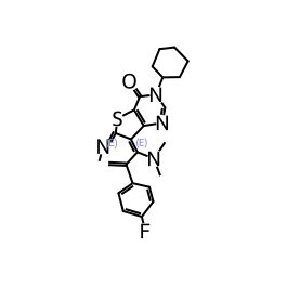 C=C(/C(=C1\C(=N/C)Sc2c1ncn(C1CCCCC1)c2=O)N(C)C)c1ccc(F)cc1